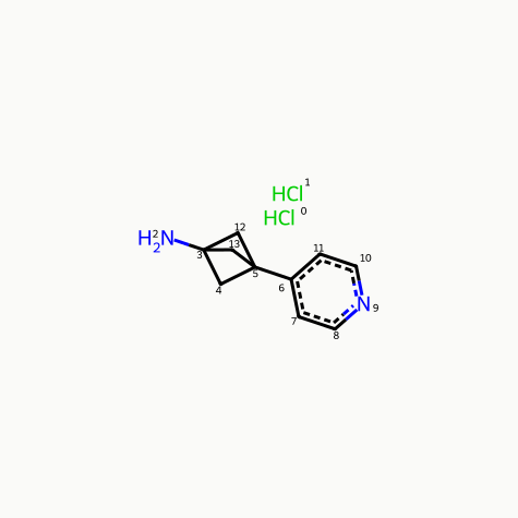 Cl.Cl.NC12CC(c3ccncc3)(C1)C2